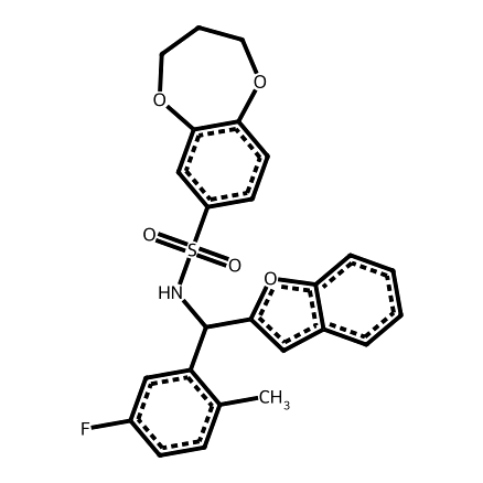 Cc1ccc(F)cc1C(NS(=O)(=O)c1ccc2c(c1)OCCCO2)c1cc2ccccc2o1